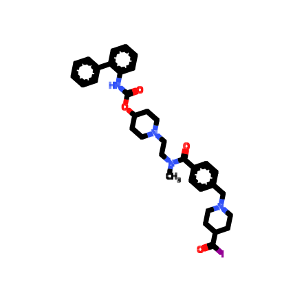 CN(CCN1CCC(OC(=O)Nc2ccccc2-c2ccccc2)CC1)C(=O)c1ccc(CN2CCC(C(=O)I)CC2)cc1